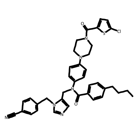 CCCCc1ccc(C(=O)N(Cc2cncn2Cc2ccc(C#N)cc2)c2ccc(N3CCN(C(=O)c4ccc(Cl)s4)CC3)cc2)cc1